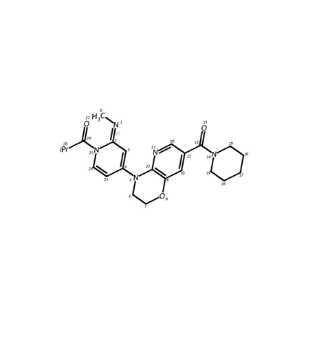 C/N=c1/cc(N2CCOc3cc(C(=O)N4CCCCC4)cnc32)ccn1C(=O)C(C)C